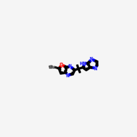 CC(C)(C)c1cc2ncc(C(C)(C)c3cc4nccnc4[nH]3)nc2o1